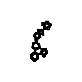 c1ccc(C2CCN([C@@H]3CCC4(C3)CN(c3nnco3)C4)CC2)c(-c2ncco2)c1